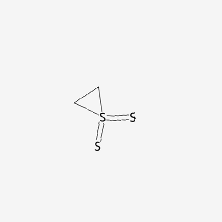 S=S1(=S)CC1